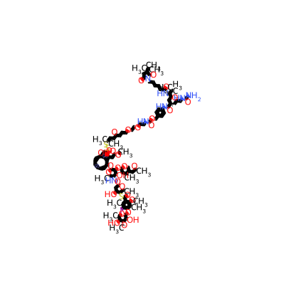 COC(=O)CC1=C2/C(=C/CSSC(C)(C)CCC(=O)CCCOCCOCCNC(=O)OCc3ccc(NC(=O)[C@H](CCCNC(N)=O)CC(=O)[C@@H](NC(=O)CCCCCN4C(=O)CC(C(C)(C)C)C4=O)C(C)C)cc3)[C@](O)(C#C/C=C\C#C[C@@H]2OC2OC(C)C(NOC3CC(O)C(SC(=O)c4c(C)c(I)c(OC5OC(C)C(O)C(OC)C5O)c(C)c4OC)C(C)O3)C(O)C2OC2CC(C)C(CC(C)=O)CO2)CC1=O